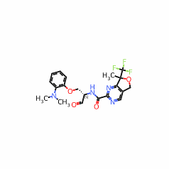 CN(C)c1ccccc1OC[C@@H](C=O)NC(=O)c1ncc2c(n1)C(C)(C(F)(F)F)OC2